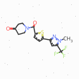 Cn1nc(-c2ccc(C(=O)N3CCC(=O)CC3)s2)cc1C(F)(F)F